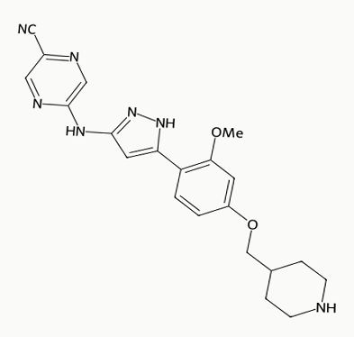 COc1cc(OCC2CCNCC2)ccc1-c1cc(Nc2cnc(C#N)cn2)n[nH]1